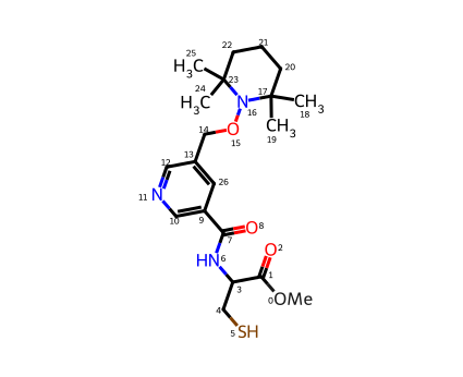 COC(=O)C(CS)NC(=O)c1cncc(CON2C(C)(C)CCCC2(C)C)c1